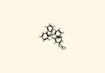 CCOc1cccc(C[PH](c2ccccc2)(c2ccccc2)c2ccccc2)c1